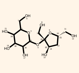 OCC1OC(O[C@]2(CO)O[C@H](CO)C[C@H]2O)C(O)C(O)C1O